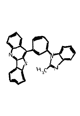 Cc1nc2ccccc2n1-c1cccc(-c2c3ccccc3nc3c2sc2ccccc23)c1